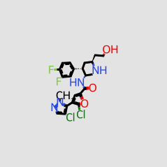 Cn1ncc(Cl)c1-c1cc(C(=O)N[C@@H]2CN[C@H](CCO)C[C@H]2c2ccc(F)c(F)c2)oc1Cl